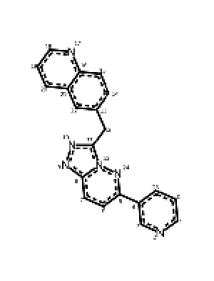 c1cncc(-c2ccc3nnc(Cc4ccc5ncccc5c4)n3n2)c1